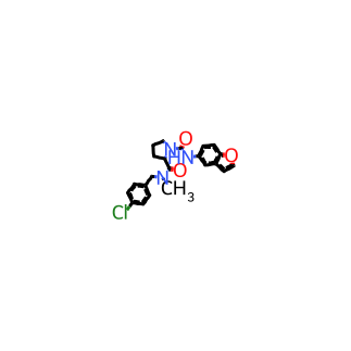 CN(Cc1ccc(Cl)cc1)C(=O)C1CCCN1C(=O)Nc1ccc2occc2c1